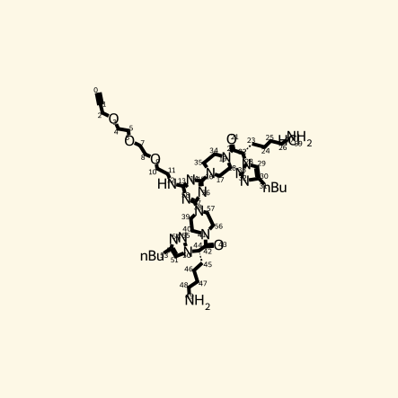 C#CCOCCOCCOCCNc1nc(N2CCN(C(=O)[C@H](CCCCN)n3cc(CCCC)nn3)CC2)nc(N2CCN(C(=O)[C@H](CCCCN)n3cc(CCCC)nn3)CC2)n1.Cl